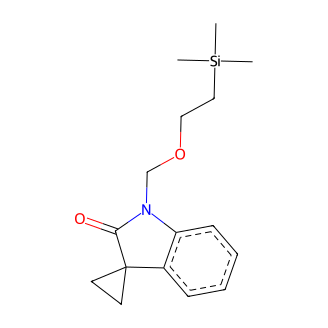 C[Si](C)(C)CCOCN1C(=O)C2(CC2)c2ccccc21